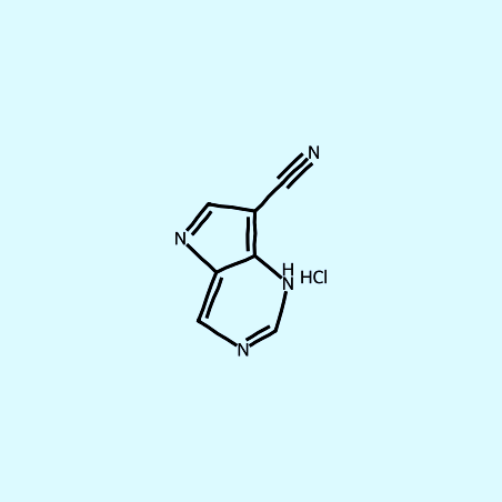 Cl.N#Cc1cnc2cnc[nH]c1-2